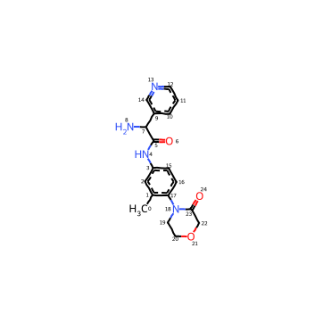 Cc1cc(NC(=O)C(N)c2cccnc2)ccc1N1CCOCC1=O